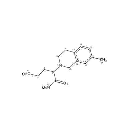 CNC(=O)C(CCC=O)N1CCc2ccc(C)cc2C1